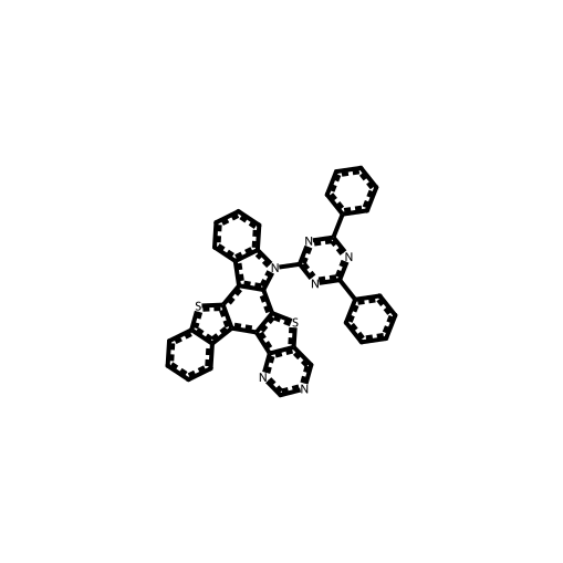 c1ccc(-c2nc(-c3ccccc3)nc(-n3c4ccccc4c4c5sc6ccccc6c5c5c6ncncc6sc5c43)n2)cc1